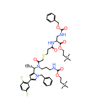 CC(C)(C)C(c1cc(-c2cc(F)ccc2F)cn1Cc1ccccc1)N(CCCNC(=O)OCC[Si](C)(C)C)C(=O)CSCCC(=O)NC(CNC(=O)OCc1ccccc1)C(=O)OCC[Si](C)(C)C